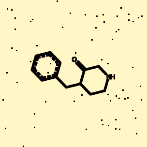 O=C1CNCCC1Cc1ccccc1